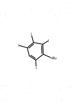 CCCCc1c(I)cc(I)c(I)c1I